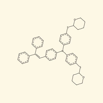 C(=C(c1ccccc1)c1ccccc1)c1ccc(N(c2ccc(SC3CCCCO3)cc2)c2ccc(SC3CCCCO3)cc2)cc1